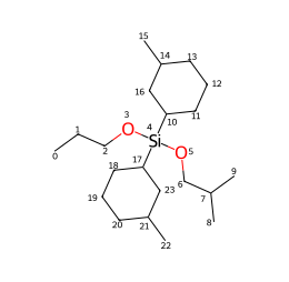 CCCO[Si](OCC(C)C)(C1CCCC(C)C1)C1CCCC(C)C1